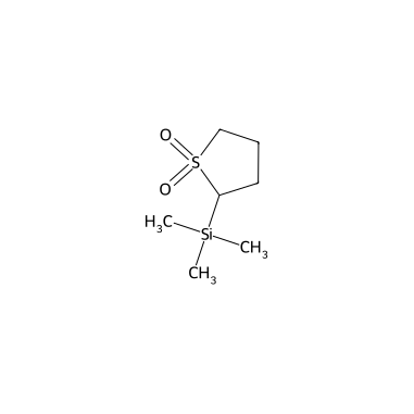 C[Si](C)(C)C1CCCS1(=O)=O